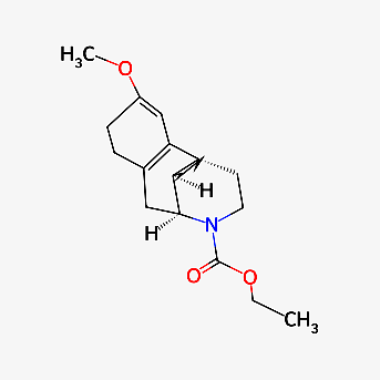 CCOC(=O)N1CC[C@@]23CCCC[C@@H]2[C@@H]1CC1=C3C=C(OC)CC1